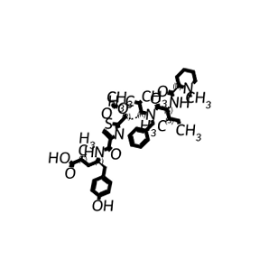 CC[C@H](C)[C@H](NC(=O)[C@H]1CCCCN1C)C(=O)N(Cc1ccccc1)[C@H](C[C@@H](OC(C)=O)c1nc(C(=O)N[C@@H](Cc2ccc(O)cc2)C[C@H](C)C(=O)O)cs1)C(C)C